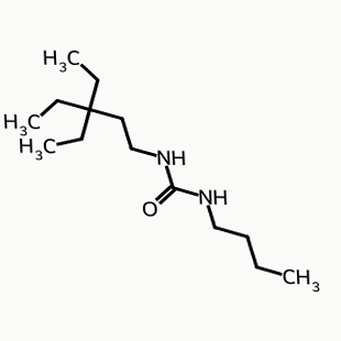 CCCCNC(=O)NCCC(CC)(CC)CC